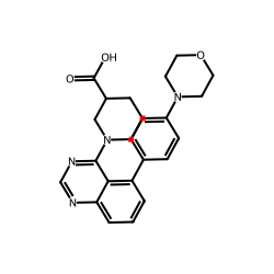 O=C(O)C1CCCN(c2ncnc3cccc(-c4ccc(N5CCOCC5)cc4)c23)C1